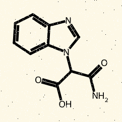 NC(=O)C(C(=O)O)n1cnc2ccccc21